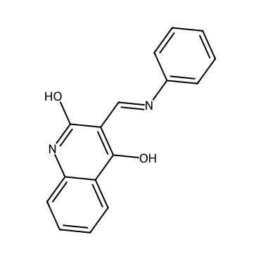 Oc1nc2ccccc2c(O)c1C=Nc1ccccc1